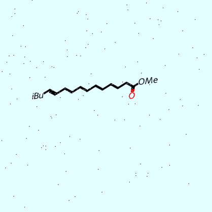 CCC(C)/C=C/CCCCCCCCCC(=O)OC